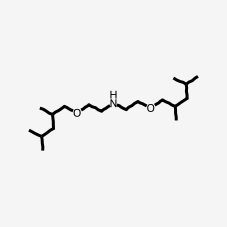 CC(C)CC(C)COCCNCCOCC(C)CC(C)C